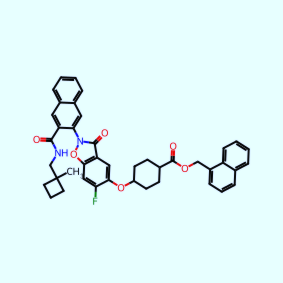 CC1(CNC(=O)c2cc3ccccc3cc2-n2oc3cc(F)c(OC4CCC(C(=O)OCc5cccc6ccccc56)CC4)cc3c2=O)CCC1